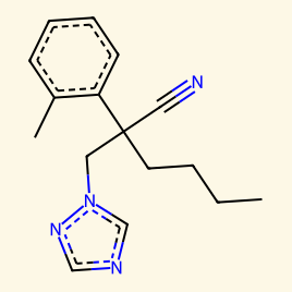 CCCCC(C#N)(Cn1cncn1)c1ccccc1C